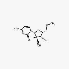 C#C[C@@]1(F)[C@H](O)[C@@H](COC)O[C@H]1n1ccc(N)nc1=O